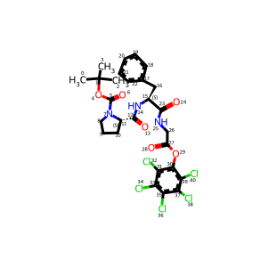 CC(C)(C)OC(=O)N1CCC[C@H]1C(=O)N[C@@H](Cc1ccccc1)C(=O)NCC(=O)Oc1c(Cl)c(Cl)c(Cl)c(Cl)c1Cl